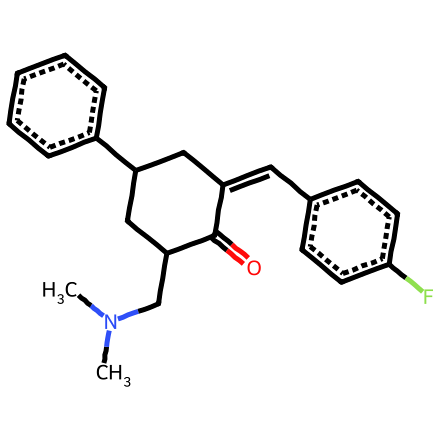 CN(C)CC1CC(c2ccccc2)CC(=Cc2ccc(F)cc2)C1=O